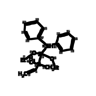 C=C[Si](C)(C)[Si](OCC)(OCC)[SiH](c1ccccc1)c1ccccc1